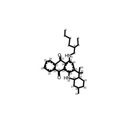 CCCCC(CC)CNc1cc2c(c3c1C(=O)c1ccccc1C3=O)NC1CC(C)CCC1C2(C)C